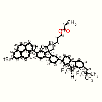 C=CC(=O)OCCCCCC1(C(=C)CC)c2cc(-c3ccc4c(c3)C(C)(C(F)(F)F)c3cc(CC(C(F)(F)F)(C(F)(F)F)C(F)(F)F)ccc3-4)ccc2-c2ccc(-c3ccc4ccc5cc(C(C)(C)C)cc6ccc3c4c56)cc21